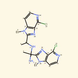 CCn1c(C(C)NC(C)(N)c2nc3c(Cl)nccc3n2CC)nc2c(Cl)nccc21